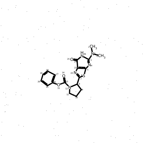 CN(C)c1nc2sc(C3CCCN3C(=O)Oc3ccccc3)nc2c(=O)[nH]1